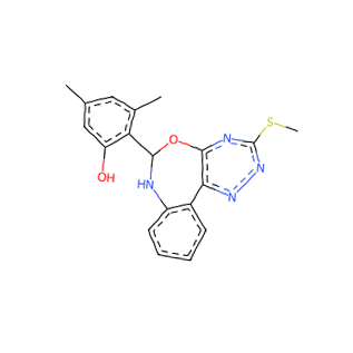 CSc1nnc2c(n1)OC(c1c(C)cc(C)cc1O)Nc1ccccc1-2